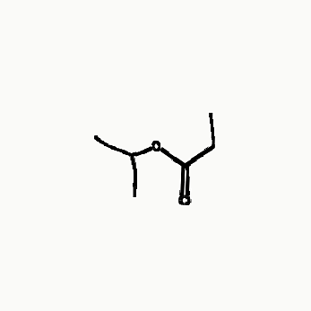 CCC(=O)OC(C)I